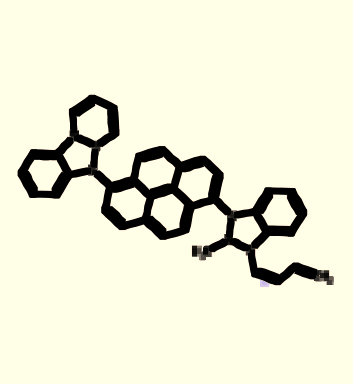 C=C/C=C\N1B(C)N(c2ccc3ccc4c(N5B6C=CC=CN6c6ccccc65)ccc5ccc2c3c54)c2ccccc21